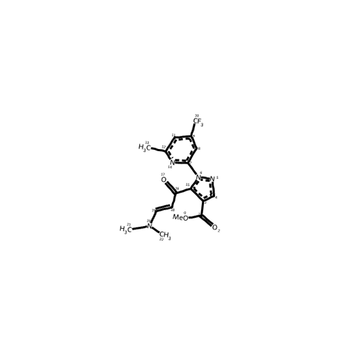 COC(=O)c1cnn(-c2cc(C(F)(F)F)cc(C)n2)c1C(=O)C=CN(C)C